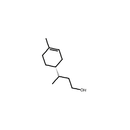 CC1=CC[C@H](C(C)CCO)CC1